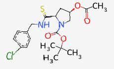 CC(=O)O[C@@H]1C[C@H](C(=S)NCc2ccc(Cl)cc2)N(C(=O)OC(C)(C)C)C1